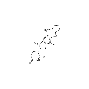 NC1CCCC1Oc1ccc2c(c1F)CN(C1CCC(=O)NC1=O)C2=O